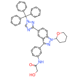 O=C(CO)Nc1cccc(-c2nn(C3CCCCO3)c3ccc(-c4ncn(C(c5ccccc5)(c5ccccc5)c5ccccc5)n4)cc23)c1